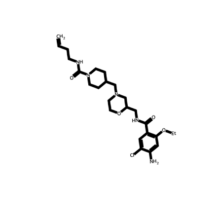 C=CCCNC(=O)N1CCC(CN2CCOC(CNC(=O)c3cc(Cl)c(N)cc3OCC)C2)CC1